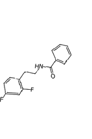 O=C(NCCc1ccc(F)cc1F)c1ccccc1